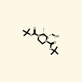 C[C@@H]1[C@H](CO)N(C(=O)OC(C)(C)C)CCN1C(=O)OC(C)(C)C